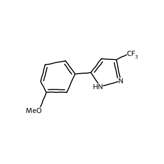 COc1cccc(-c2cc(C(F)(F)F)n[nH]2)c1